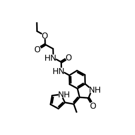 CCOC(=O)CNC(=O)Nc1ccc2c(c1)/C(=C(/C)c1ccc[nH]1)C(=O)N2